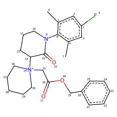 Cc1cc(F)cc(C)c1N1CCCC([N+]2(CC(=O)OCc3ccccc3)CCCCC2)C1=O